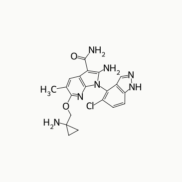 Cc1cc2c(C(N)=O)c(N)n(-c3c(Cl)ccc4[nH]ncc34)c2nc1OCC1(N)CC1